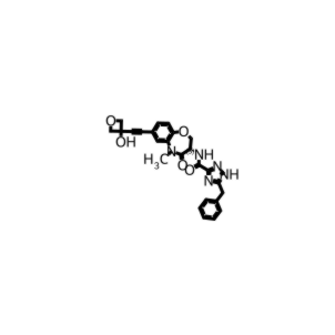 CN1C(=O)[C@@H](NC(=O)c2n[nH]c(Cc3ccccc3)n2)COc2ccc(C#CC3(O)COC3)cc21